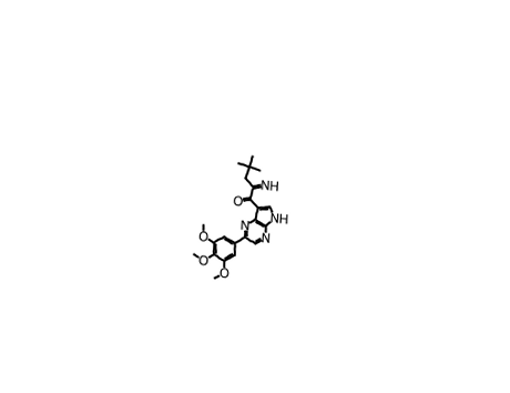 COc1cc(-c2cnc3[nH]cc(C(=O)C(=N)CC(C)(C)C)c3n2)cc(OC)c1OC